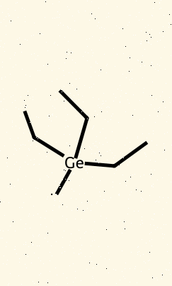 [CH2][Ge]([CH2]C)([CH2]C)[CH2]C